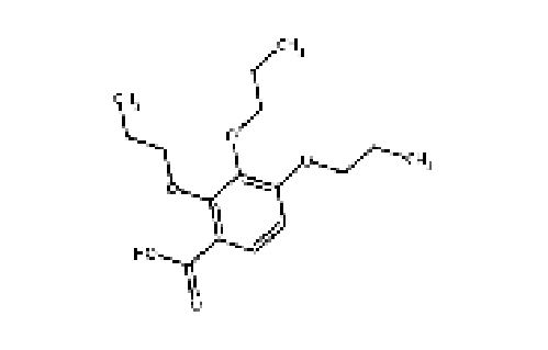 CCCOc1ccc(C(=O)O)c(OCCC)c1OCCC